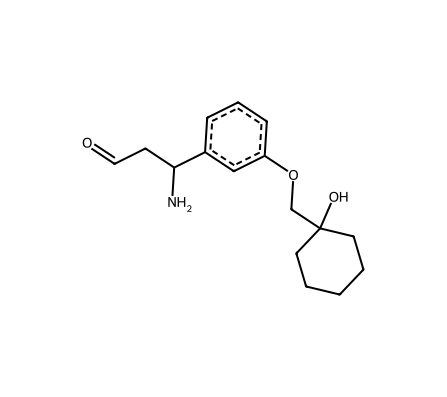 NC(CC=O)c1cccc(OCC2(O)CCCCC2)c1